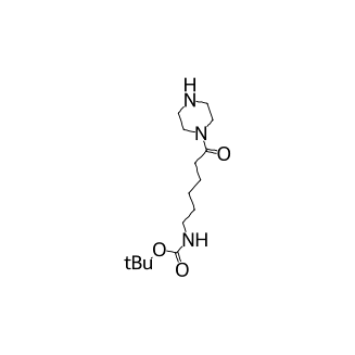 CC(C)(C)OC(=O)NCCCCCC(=O)N1CCNCC1